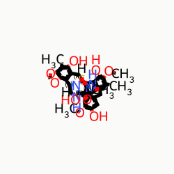 COc1cc2c(cc1O)CCN[C@]21CS[C@@H]2c3c(O)c(C)c4c(c3[C@H](CNC1=O)N1C2C2c3c(cc(C)c(OC)c3O)CC([C@@H]1O)N2C)OCO4